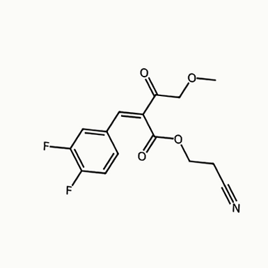 COCC(=O)C(=Cc1ccc(F)c(F)c1)C(=O)OCCC#N